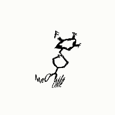 COC(OC)C1CCN(c2cc(F)c(Br)c(F)c2)CC1